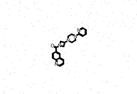 O=C(c1ccc2ncccc2c1)N1CC(N2CCN(c3ccccn3)CC2)C1